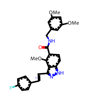 COc1cc(CNC(=O)c2ccc3[nH]nc(/C=C/c4ccc(F)cc4)c3c2OC)cc(OC)c1